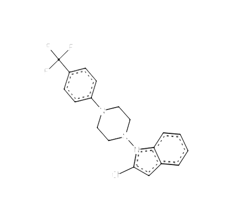 FC(F)(F)c1ccc(N2CCN(n3c(Cl)cc4ccccc43)CC2)cc1